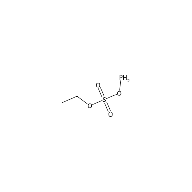 CCOS(=O)(=O)OP